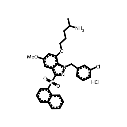 COc1cc(OCCCC(C)N)c2c(c1)c(S(=O)(=O)c1cccc3ccccc13)nn2Cc1cccc(Cl)c1.Cl